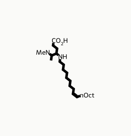 CCCCCCCC/C=C\CCCCCCCCNC(CCC(=O)O)C(C)NC